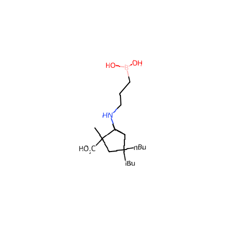 CCCCC1(C(C)CC)CC(NCCCB(O)O)C(C)(C(=O)O)C1